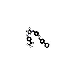 CN1C(=O)/C(=C/c2ccc(OCc3ccc(C4CCCCC4)cc3)cc2)S/C1=N\c1ccc(C(=O)C(=O)O)cc1